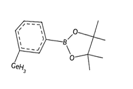 CC1(C)OB(c2ccc[c]([GeH3])c2)OC1(C)C